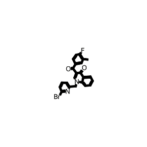 Cc1cc(C(=O)c2cn(Cc3cccc(Br)n3)c3ccccc3c2=O)ccc1F